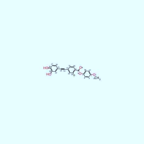 COc1ccc(OC(=O)c2ccc(C#Cc3ccc(O)c(O)c3)cc2F)cc1